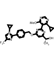 COc1ncnc(C2CC2)c1-c1nc(OCc2ccc(-c3nc(C(F)(F)F)cn3C3CC3)cc2)cc([C@@H](C)O)n1